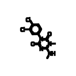 CNc1nc(=O)n(-c2ccc(Cl)c(Cl)c2)c(=O)n1C